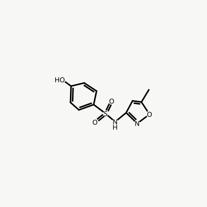 Cc1cc(NS(=O)(=O)c2ccc(O)cc2)no1